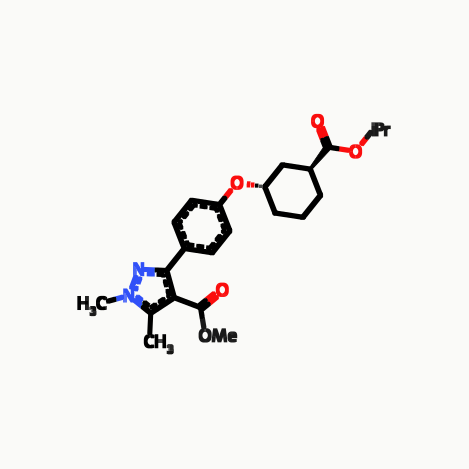 COC(=O)c1c(-c2ccc(O[C@H]3CCC[C@H](C(=O)OC(C)C)C3)cc2)nn(C)c1C